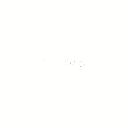 C=CC/C=C/CCCOc1ccc2cc(-c3ccccc3)oc2c1